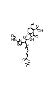 C=CC1=C(C(=O)O)N2C(=O)C(NC(=O)C(=NOC/C=C/C(=O)OC(C)(C)C)c3csc(NC=O)n3)[C@@H]2SC1